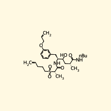 C=CCCCS(=O)(=O)[C@@H](C)C(=O)N[C@@H](Cc1cccc(OCC=C)c1)[C@@H](O)C[C@@H](C)C(=O)NCCCC